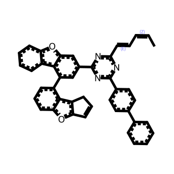 C/C=C\C=C\c1nc(-c2ccc(-c3ccccc3)cc2)nc(-c2cc(-c3cccc4oc5c(c34)CC=C5)c3c(c2)oc2ccccc23)n1